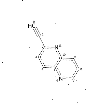 C#Cc1ccc2n[c]ccc2n1